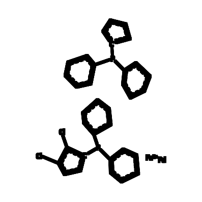 Clc1cc[c-](P(c2ccccc2)c2ccccc2)c1Cl.[Fe+2].[Pd].c1ccc(P(c2ccccc2)[c-]2cccc2)cc1